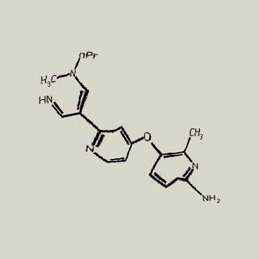 CCCN(C)/C=C(\C=N)c1cc(Oc2ccc(N)nc2C)ccn1